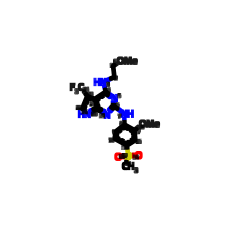 COCCNc1nc(Nc2ccc(S(C)(=O)=O)cc2OC)nc2[nH]cc(C(F)(F)F)c12